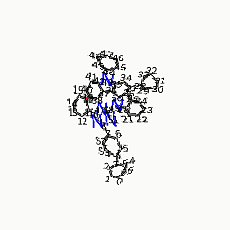 c1ccc(-c2ccc(-c3nc(-c4ccccc4)nc(-n4c5ccccc5c5c(-c6ccccc6)cc6c(c7ccccc7n6-c6ccccc6)c54)n3)cc2)cc1